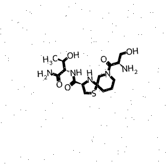 C[C@@H](O)[C@H](NC(=O)[C@@H]1CSC2(CCCN(C(=O)[C@@H](N)CO)C2)N1)C(N)=O